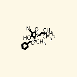 CC(OCc1ccccc1)[C@H]1C(O)=C(C#N)C(=O)N1CCC(C)(C)C